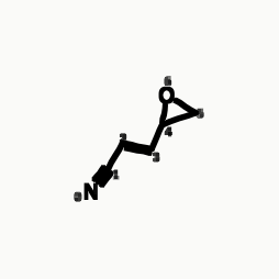 N#CC=CC1CO1